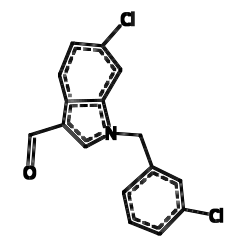 O=Cc1cn(Cc2cccc(Cl)c2)c2cc(Cl)ccc12